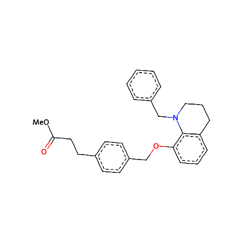 COC(=O)CCc1ccc(COc2cccc3c2N(Cc2ccccc2)CCC3)cc1